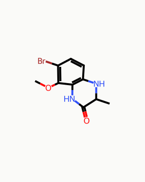 COc1c(Br)ccc2c1NC(=O)C(C)N2